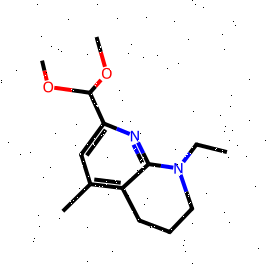 CCN1CCCc2c(C)cc(C(OC)OC)nc21